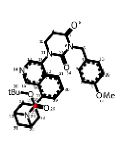 COc1ccc(CN2C(=O)CCN(c3cncc4c(N5CC6CC(C5)N6C(=O)OC(C)(C)C)cccc34)C2=O)cc1